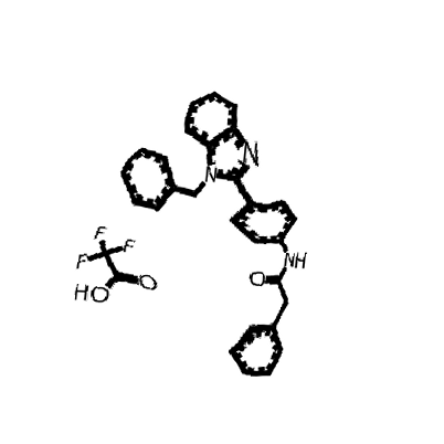 O=C(Cc1ccccc1)Nc1ccc(-c2nc3ccccc3n2Cc2ccccc2)cc1.O=C(O)C(F)(F)F